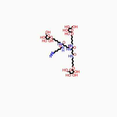 [N-]=[N+]=NCCCCCC(=O)NC(CCC(=O)NC(CCC(=O)NCCCCCCO[C@H]1O[C@H](CO)[C@@H](O)C(O)C1O)C(=O)NCCCCCCO[C@H]1O[C@H](CO)[C@@H](O)C(O)C1O)C(=O)NCCCCCCO[C@H]1O[C@H](CO)[C@@H](O)C(O)C1O